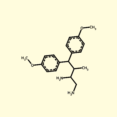 COc1ccc(C(c2ccc(OC)cc2)C(C)C(N)CN)cc1